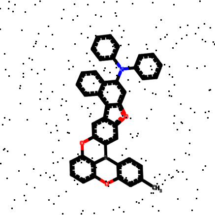 Cc1ccc2c(c1)Oc1cccc3c1B2c1cc2oc4cc(N(c5ccccc5)c5ccccc5)c5ccccc5c4c2cc1O3